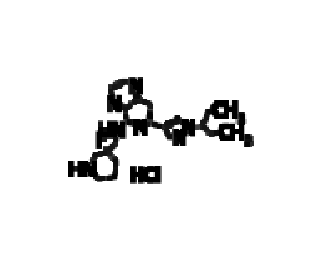 CCC(CC)n1cc(-c2cc3nccnc3c(NCC3(F)CCCNC3)n2)cn1.Cl